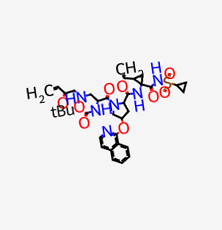 C=CC(=O)CNCC(NC(=O)OC(C)(C)C)C(=O)N1CC(Oc2nccc3ccccc23)CC1C(=O)NC1(C(=O)NS(=O)(=O)C2CC2)CC1C=C